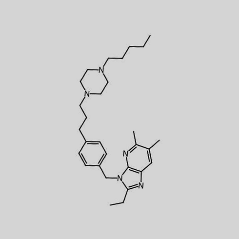 CCCCCN1CCN(CCCc2ccc(Cn3c(CC)nc4cc(C)c(C)nc43)cc2)CC1